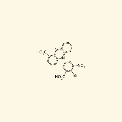 O=C(O)c1cccc([N+](=O)[O-])c1Br.O=C(O)c1cccc2nc3ccccc3nc12